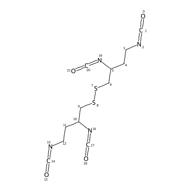 O=C=NCCC(CSSCC(CCN=C=O)N=C=O)N=C=O